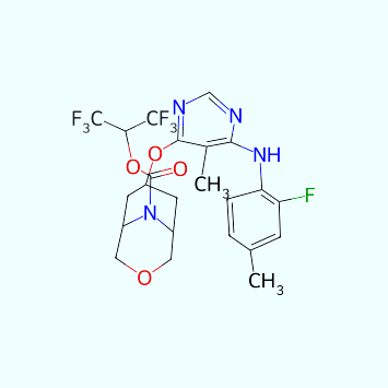 Cc1ccc(Nc2ncnc(OC3CC4COCC(C3)N4C(=O)OC(C(F)(F)F)C(F)(F)F)c2C)c(F)c1